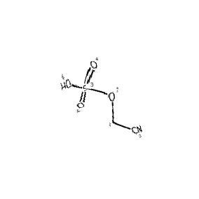 N#CCOS(=O)(=O)O